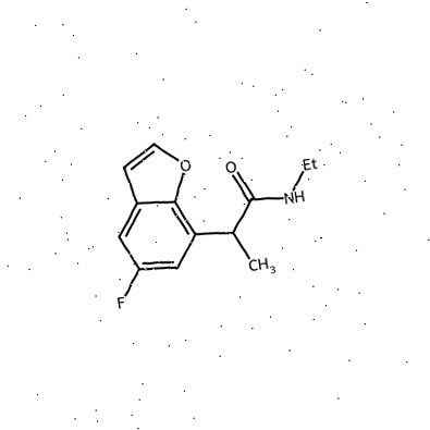 CCNC(=O)C(C)c1cc(F)cc2ccoc12